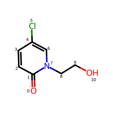 O=c1ccc(Cl)cn1CCO